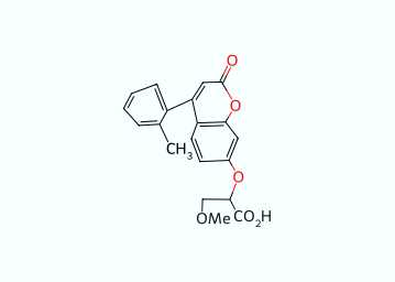 COCC(Oc1ccc2c(-c3ccccc3C)cc(=O)oc2c1)C(=O)O